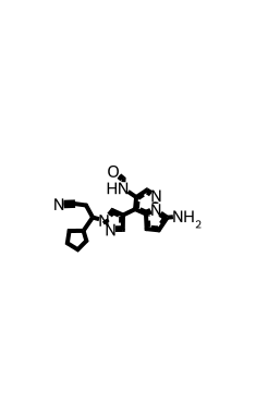 N#CCC(C1CCCC1)n1cc(-c2c(NC=O)cnn3c(N)ccc23)cn1